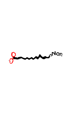 CCCCCCCCCCCCCCCCCCCCCCC([O])=O